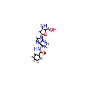 NC1C[C@H](n2cnc3c(NC(=O)c4ccccc4)ncnc32)O[C@@H]1CO